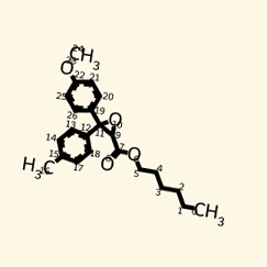 CCCCCCOC(=O)C1OC1(c1ccc(C)cc1)c1ccc(OC)cc1